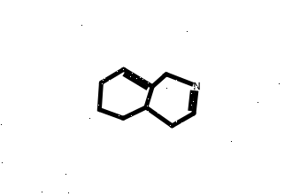 [CH]1N=CCC2CCCC=C12